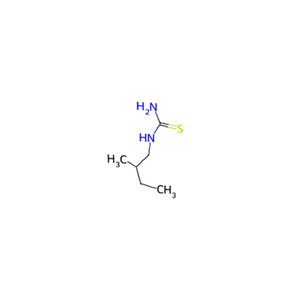 CCC(C)CNC(N)=S